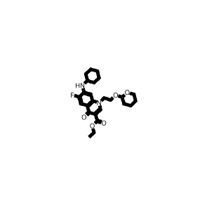 CCOC(=O)c1cn(CCOC2CCCCO2)c2cc(NC3CCCCC3)c(F)cc2c1=O